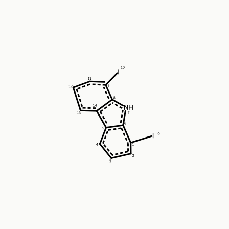 Ic1cccc2c1[nH]c1c(I)cccc12